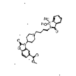 COC(=O)c1ccc2oc(=O)n(C3CCN(CCCCN4C(=O)c5ccccc5S4(O)O)CC3)c2c1